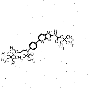 CC(C)(C)OC(=O)Nc1nc2ccc(-c3ccc(N(CCO[Si](C)(C)C(C)(C)C)S(C)(=O)=O)cc3)nc2s1